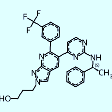 C[C@H](Nc1nccc(-c2cc3cn(CCCO)nc3nc2-c2cccc(C(F)(F)F)c2)n1)c1ccccc1